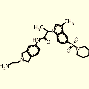 Cc1cn(C(C)C(=O)Nc2ccc3c(c2)CN(CCN)C3)c2ccc(S(=O)(=O)N3CCCCC3)cc12